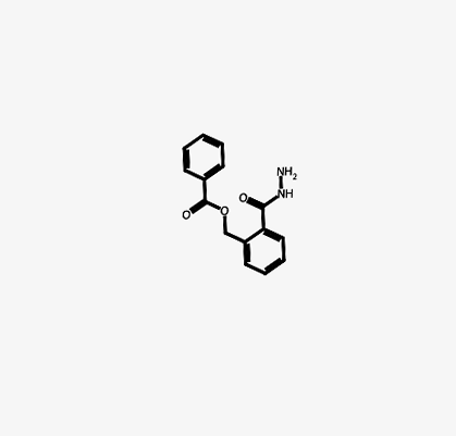 NNC(=O)c1ccccc1COC(=O)c1ccccc1